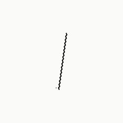 C[CH]CCCCCCCCCCCCCCCCCCCCCCCCCCCCCCCC